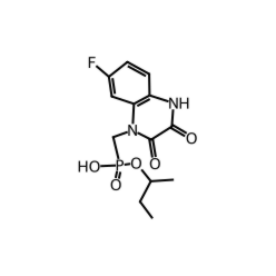 CCC(C)OP(=O)(O)Cn1c(=O)c(=O)[nH]c2ccc(F)cc21